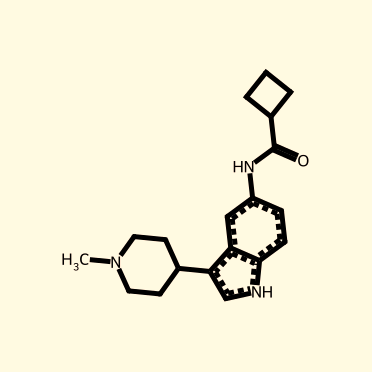 CN1CCC(c2c[nH]c3ccc(NC(=O)C4CCC4)cc23)CC1